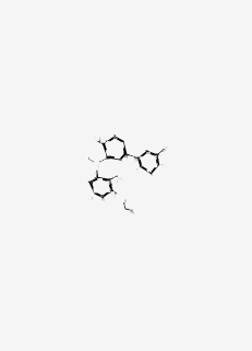 CN(c1cc(-c2cccc(F)c2)ccc1F)c1cccc(OCC(=O)O)c1F